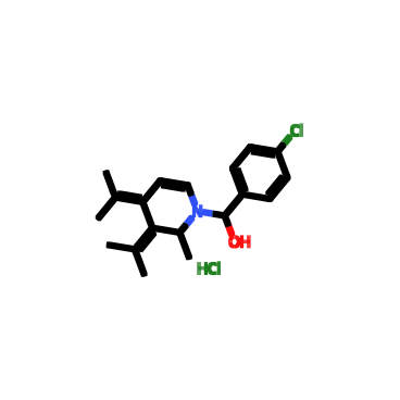 CC(C)=C1C=CN(C(O)c2ccc(Cl)cc2)C(C)C1=C(C)C.Cl